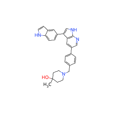 CC1(O)CCN(Cc2ccc(-c3cnc4[nH]cc(-c5ccc6[nH]ccc6c5)c4c3)cc2)CC1